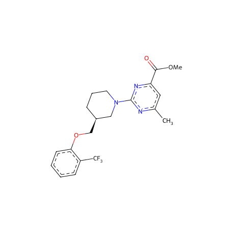 COC(=O)c1cc(C)nc(N2CCC[C@H](COc3ccccc3C(F)(F)F)C2)n1